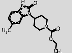 CCOC(=O)N1CCC(n2c(=O)[nH]c3ccc(C)cc32)CC1